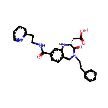 O=C(O)C[C@H]1Nc2cc(C(=O)NCCc3ccccn3)ccc2CN(CCc2ccccc2)C1=O